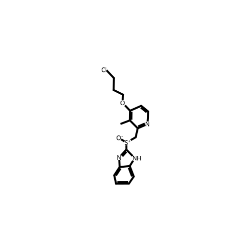 Cc1c(OCCCCl)ccnc1C[S+]([O-])c1nc2ccccc2[nH]1